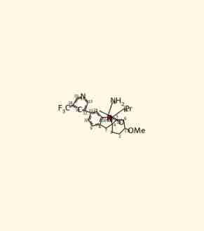 COC1CCC2(CC1)Cc1ccc(-c3cncc(C(F)(F)F)c3)cc1[C@@]21N=C(N)N(C(C)C)C1=O